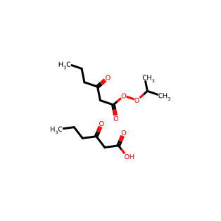 CCCC(=O)CC(=O)O.CCCC(=O)CC(=O)OOC(C)C